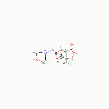 CC1(C)COC(=O)C1OC(=O)CN1CCOCC1